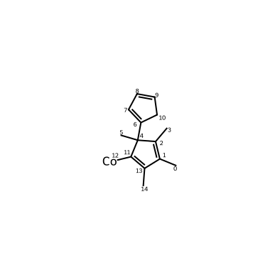 CC1=C(C)C(C)(C2=CC=CC2)[C]([Co])=C1C